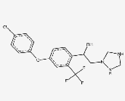 OC(CN1CNCN1)c1ccc(Oc2ccc(Cl)cc2)cc1C(F)(F)F